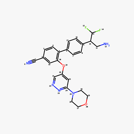 N#Cc1ccc(-c2ccc(C(CN)C(F)F)cc2)c(Oc2cnnc(N3CCOCC3)c2)c1